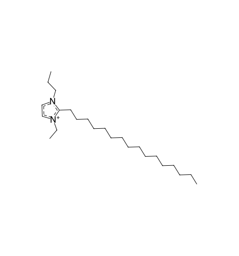 CCCCCCCCCCCCCCCCc1n(CCC)cc[n+]1CC